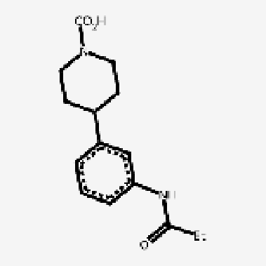 CCC(=O)Nc1cccc(C2CCN(C(=O)O)CC2)c1